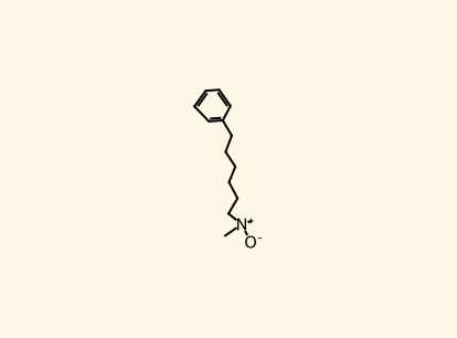 C[N+](C)([O-])CCCCCCc1ccccc1